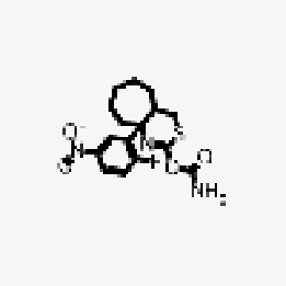 NC(=O)OC1=NC2(c3cc([N+](=O)[O-])ccc3F)CCCCCC2CS1